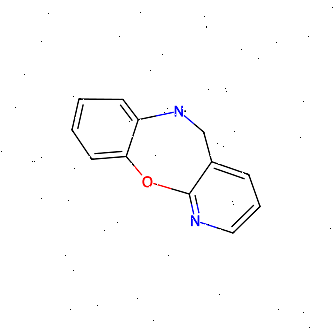 c1cnc2c(c1)C[N]c1ccccc1O2